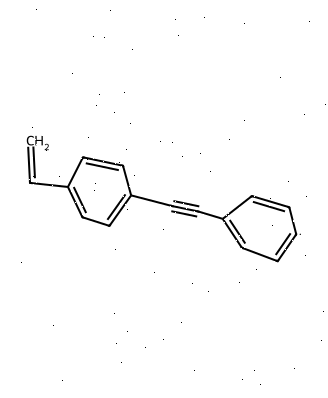 C=Cc1ccc(C#Cc2cc[c]cc2)cc1